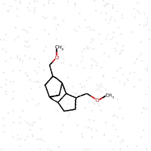 COCC1CC2CC1C1C(COC)CCC21